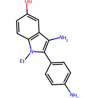 CCn1c(-c2ccc(N)cc2)c(N)c2cc(O)ccc21